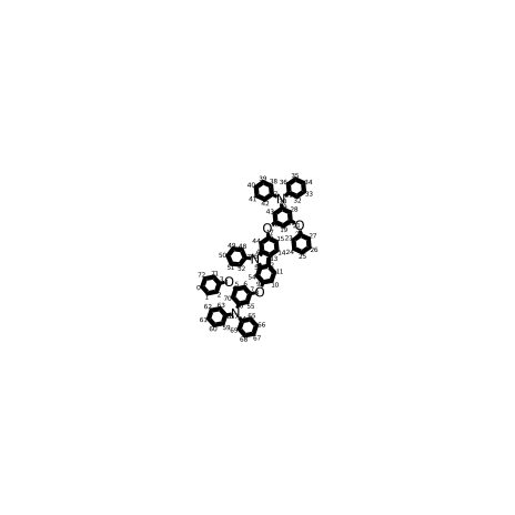 c1ccc(Oc2cc(Oc3ccc4c5ccc(Oc6cc(Oc7ccccc7)cc(N(c7ccccc7)c7ccccc7)c6)cc5n(-c5ccccc5)c4c3)cc(N(c3ccccc3)c3ccccc3)c2)cc1